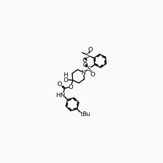 CC(C)(C)c1ccc(NC(=O)OC2(O)CCN(S(=O)(=O)c3ccccc3S(C)(=O)=O)CC2)cc1